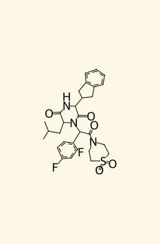 CC(C)CC1C(=O)NC(C2Cc3ccccc3C2)C(=O)N1C(C(=O)N1CCS(=O)(=O)CC1)c1ccc(F)cc1F